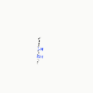 [CH2]CCCNCCCNCCCCCC